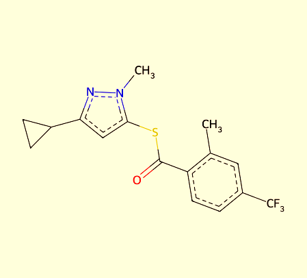 Cc1cc(C(F)(F)F)ccc1C(=O)Sc1cc(C2CC2)nn1C